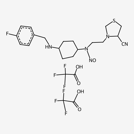 N#CC1CSCN1CCN(N=O)C1CCC(NCc2ccc(F)cc2)CC1.O=C(O)C(F)(F)F.O=C(O)C(F)(F)F